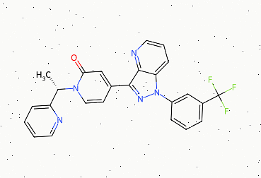 C[C@@H](c1ccccn1)n1ccc(-c2nn(-c3cccc(C(F)(F)F)c3)c3cccnc23)cc1=O